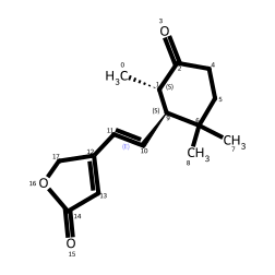 C[C@@H]1C(=O)CCC(C)(C)[C@H]1/C=C/C1=CC(=O)OC1